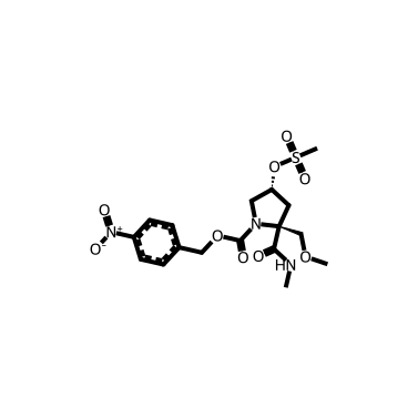 CNC(=O)[C@@]1(COC)C[C@@H](OS(C)(=O)=O)CN1C(=O)OCc1ccc([N+](=O)[O-])cc1